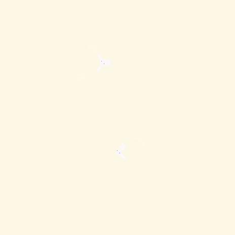 O=C(NO)c1ccc(-c2nc3ccccc3o2)cc1